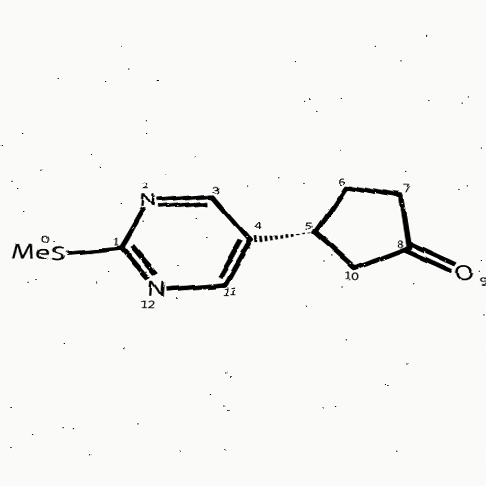 CSc1ncc([C@@H]2CCC(=O)C2)cn1